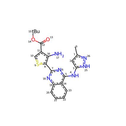 Cc1cc(Nc2nc(-c3scc(C(=O)OC(C)(C)C)c3N)nc3ccccc23)[nH]n1